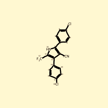 N#Cc1c(-c2ccc(Cl)cc2)[nH]c(C(F)(F)F)c1-c1ccc(Cl)cc1